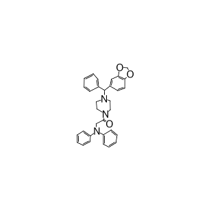 O=C(CN(c1ccccc1)c1ccccc1)N1CCN(C(c2ccccc2)c2ccc3c(c2)OCO3)CC1